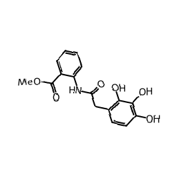 COC(=O)c1ccccc1NC(=O)Cc1ccc(O)c(O)c1O